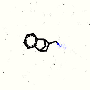 NCC1CC2CC1c1ccccc12